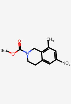 Cc1cc([N+](=O)[O-])cc2c1CN(C(=O)OC(C)(C)C)CC2